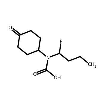 CCCC(F)N(C(=O)O)C1CCC(=O)CC1